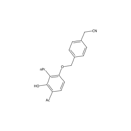 CCCc1c(OCc2ccc(CC#N)cc2)ccc(C(C)=O)c1O